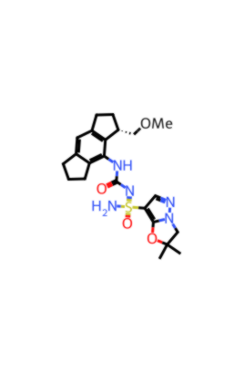 COC[C@H]1CCc2cc3c(c(NC(=O)N=S(N)(=O)c4cnn5c4OC(C)(C)C5)c21)CCC3